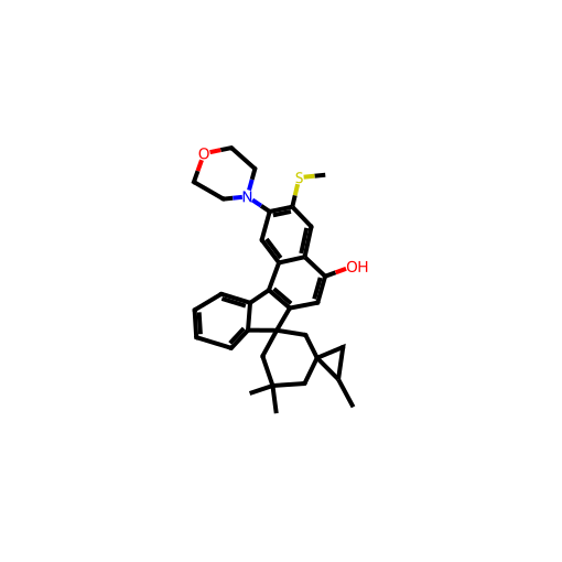 CSc1cc2c(O)cc3c(c2cc1N1CCOCC1)-c1ccccc1C31CC(C)(C)CC2(CC2C)C1